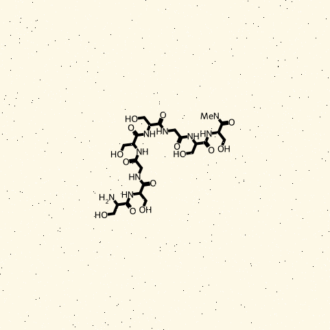 CNC(=O)C(CO)NC(=O)C(CO)NC(=O)CNC(=O)C(CO)NC(=O)C(CO)NC(=O)CNC(=O)C(CO)NC(=O)C(N)CO